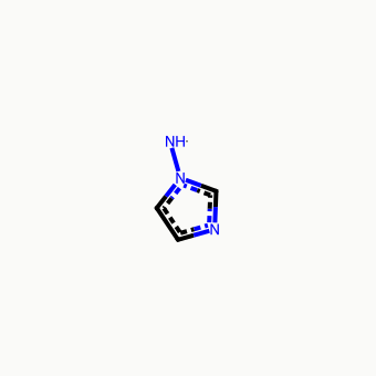 [NH]n1ccnc1